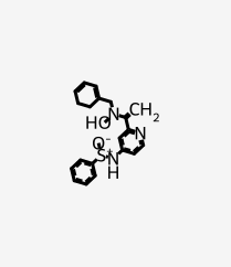 C=C(c1cc(N[S+]([O-])c2ccccc2)ccn1)N(O)CC1=CC=CCC1